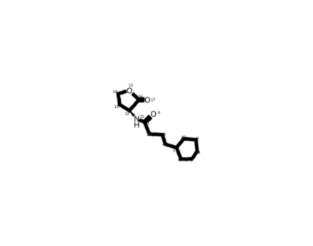 O=C(CCCC1CCCCC1)N[C@H]1CCOC1=O